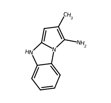 Cc1cc2[nH]c3ccccc3n2c1N